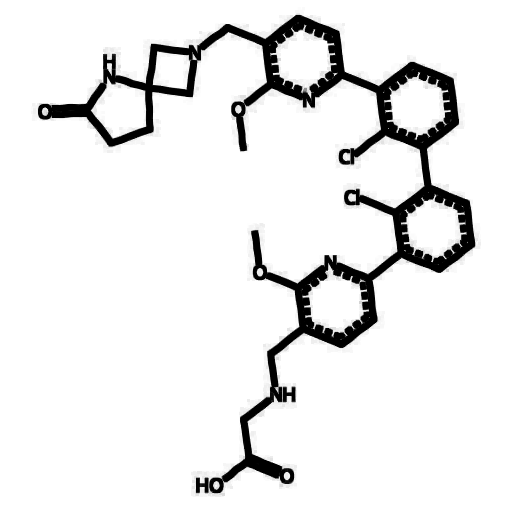 COc1nc(-c2cccc(-c3cccc(-c4ccc(CN5CC6(CCC(=O)N6)C5)c(OC)n4)c3Cl)c2Cl)ccc1CNCC(=O)O